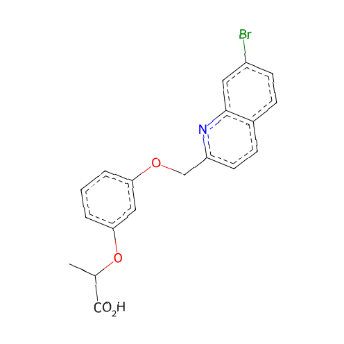 CC(Oc1cccc(OCc2ccc3ccc(Br)cc3n2)c1)C(=O)O